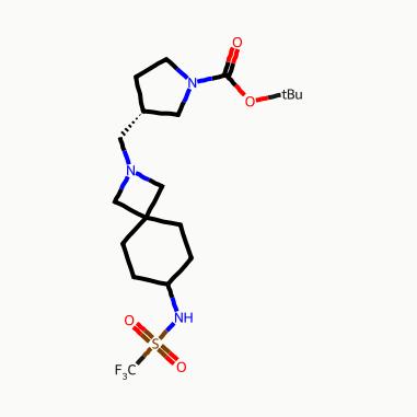 CC(C)(C)OC(=O)N1CC[C@@H](CN2CC3(CCC(NS(=O)(=O)C(F)(F)F)CC3)C2)C1